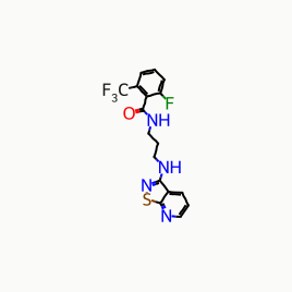 O=C(NCCCNc1nsc2ncccc12)c1c(F)cccc1C(F)(F)F